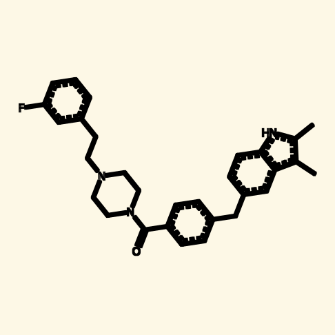 Cc1[nH]c2ccc(Cc3ccc(C(=O)N4CCN(CCc5cccc(F)c5)CC4)cc3)cc2c1C